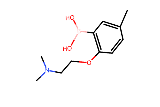 Cc1ccc(OCCN(C)C)c(B(O)O)c1